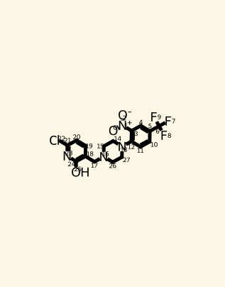 O=[N+]([O-])c1cc(C(F)(F)F)ccc1N1CCN(Cc2ccc(Cl)nc2O)CC1